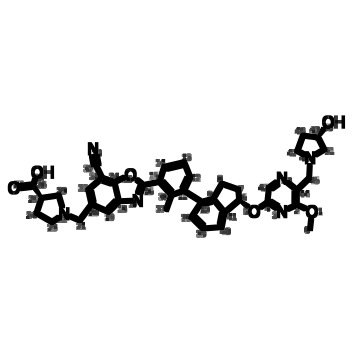 COc1nc(O[C@@H]2CCc3c(-c4cccc(-c5nc6cc(CN7CC[C@@H](C(=O)O)C7)cc(C#N)c6o5)c4C)cccc32)cnc1CN1CC[C@@H](O)C1